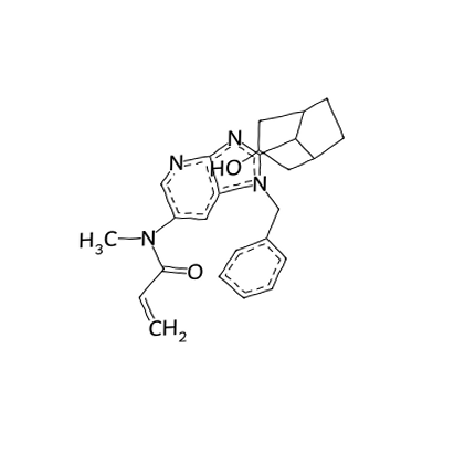 C=CC(=O)N(C)c1cnc2nc(C3C4CCC3CC(O)C4)n(Cc3ccccc3)c2c1